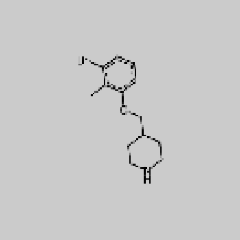 Cc1c(Br)cccc1OCC1CCNCC1